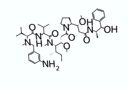 CC[C@H](C)[C@@H]([C@H](CC(=O)N1CCC[C@H]1[C@H](OC)[C@@H](C)C(=O)N[C@H](C)[C@H](O)c1ccccc1)OC)N(C)C(=O)[C@@H](NC(=O)[C@H](C(C)C)N(C)Cc1cccc(N)c1)C(C)C